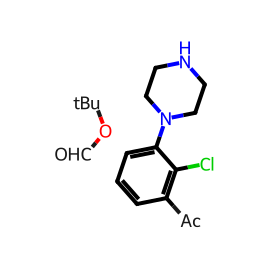 CC(=O)c1cccc(N2CCNCC2)c1Cl.CC(C)(C)OC=O